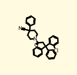 N#CC1(c2ccccc2)CCN(C(=O)CC(c2ccccc2)(c2ccccc2)c2ccccc2Cl)CC1